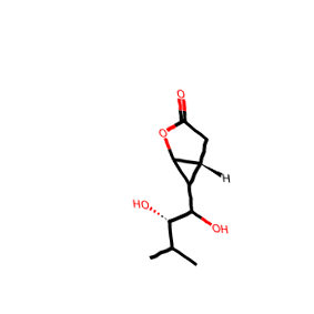 CC(C)[C@H](O)C(O)C1C2OC(=O)C[C@@H]21